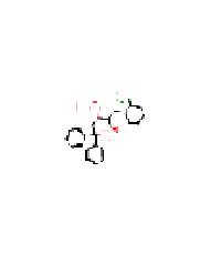 O=C1OC(c2ccccc2)(c2ccccc2)CC(O)=C1Cc1ccccc1Cl